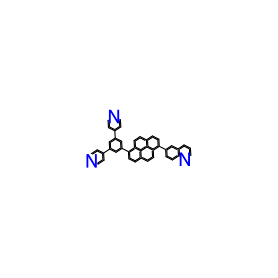 c1cnc2ccc(-c3ccc4ccc5c(-c6cc(-c7ccncc7)cc(-c7ccncc7)c6)ccc6ccc3c4c65)cc2c1